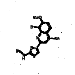 COc1ccc2c(S)cc(-c3csc(NC(C)C)n3)nc2c1Br